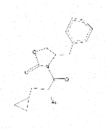 CC(=O)[C@H](CC1CC1)C(=O)N1C(=O)OC[C@@H]1Cc1ccccc1